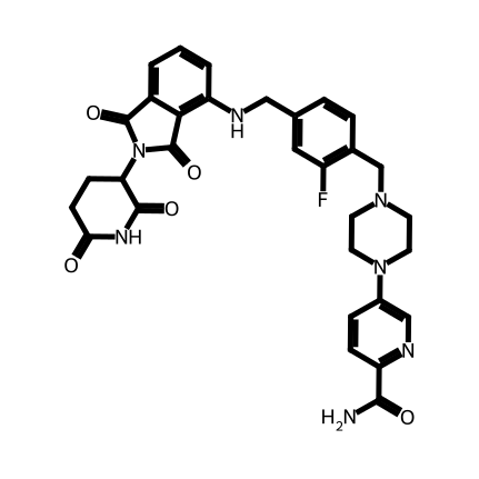 NC(=O)c1ccc(N2CCN(Cc3ccc(CNc4cccc5c4C(=O)N(C4CCC(=O)NC4=O)C5=O)cc3F)CC2)cn1